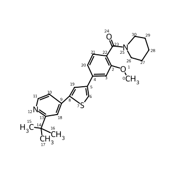 COc1cc(-c2csc(-c3ccnc(C(C)(C)C)c3)c2)ccc1C(=O)N1CCCCC1